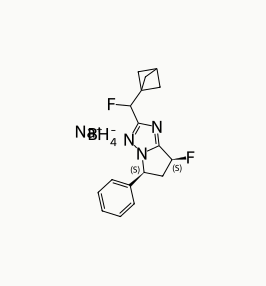 FC(c1nc2n(n1)[C@H](c1ccccc1)C[C@@H]2F)C12CC(C1)C2.[BH4-].[Na+]